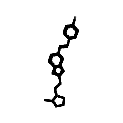 CC1CCCN1CCc1cc2cc(C=Cc3ccc(F)cc3)ccc2o1